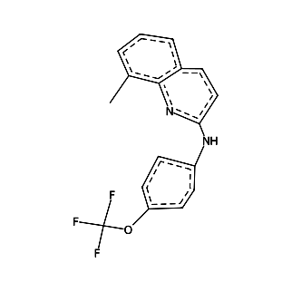 Cc1cccc2ccc(Nc3ccc(OC(F)(F)F)cc3)nc12